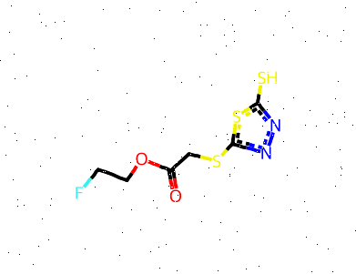 O=C(CSc1nnc(S)s1)OCCF